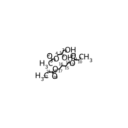 CC(=O)OCC(O)CO.CCC(=O)OCCCCOC(=O)CC